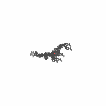 CCCCC(CC)Cc1cc2sc(-c3cnc(-c4cc5c(s4)-c4sc(-c6ncc(-c7cc8sc(CC(C)CC)cc8s7)c7nsnc67)cc4[Si]5(CC(CC)CCCC)CC(CC)CCCC)c4nsnc34)cc2s1